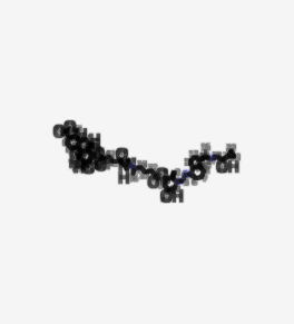 C=C1/C(=C\C=C2/CCC[C@@]3(C)C2CCC3[C@@H](C)/C=C/C(O)C2CC2)C[C@@H](O)C[C@@H]1OC(=O)CCC/C(C)=N/NC(=O)CCC(=O)O[C@@H]1[C@@]2(C(C)C)O[C@H]2[C@@H]2O[C@]23[C@]12O[C@H]2C[C@H]1C2=C(CC[C@@]13C)C(=O)OC2